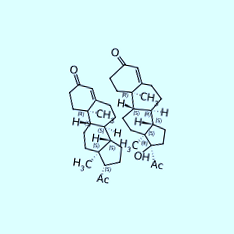 CC(=O)[C@@]1(O)CC[C@H]2[C@@H]3CCC4=CC(=O)CC[C@]4(C)[C@H]3CC[C@@]21C.CC(=O)[C@H]1CC[C@H]2[C@@H]3CCC4=CC(=O)CC[C@]4(C)[C@H]3CC[C@]12C